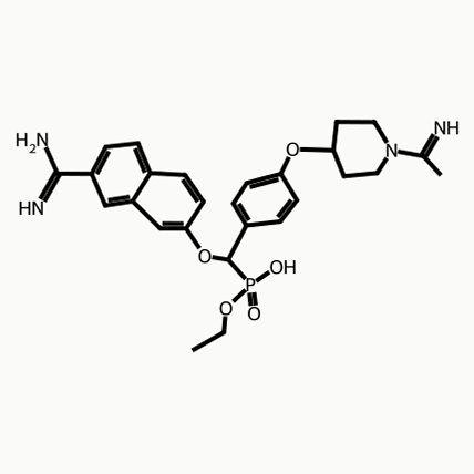 CCOP(=O)(O)C(Oc1ccc2ccc(C(=N)N)cc2c1)c1ccc(OC2CCN(C(C)=N)CC2)cc1